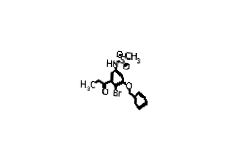 CCC(=O)c1cc(NS(C)(=O)=O)cc(OCc2ccccc2)c1Br